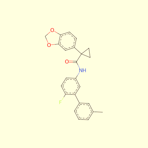 Cc1cccc(-c2cc(NC(=O)C3(c4ccc5c(c4)OCO5)CC3)ccc2F)c1